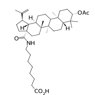 C=C(C)[C@@H]1CC[C@]2(C(=O)NCCCCCCCC(=O)O)CC[C@]3(C)[C@H](CCC4[C@@]5(C)CC[C@H](OC(C)=O)C(C)(C)[C@@H]5CC[C@]43C)[C@@H]12